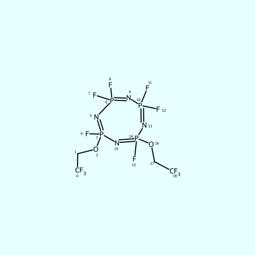 FC(F)(F)COP1(F)=NP(F)(F)=NP(F)(F)=NP(F)(OCC(F)(F)F)=N1